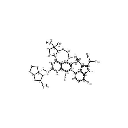 C[C@H]1CN2CCC[C@@]2(COc2nc3c4c(c(Cl)c(-c5ccc(F)c6sc(C(F)F)c(C#N)c56)c(F)c4n2)OCCC2N3CCC2(C)O)C1